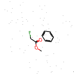 COC(=O)CF.c1ccccc1